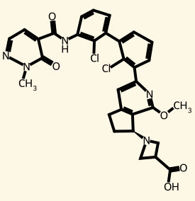 COc1nc(-c2cccc(-c3cccc(NC(=O)c4ccnn(C)c4=O)c3Cl)c2Cl)cc2c1[C@@H](N1CC(C(=O)O)C1)CC2